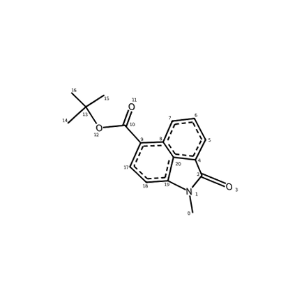 CN1C(=O)c2cccc3c(C(=O)OC(C)(C)C)ccc1c23